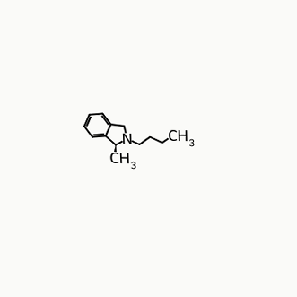 CCCCN1Cc2ccccc2[C@@H]1C